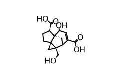 O=C(O)C1=C[C@H](O)[C@@]23CC1[C@]1(CO)C[C@]12CC[C@H]3C(=O)O